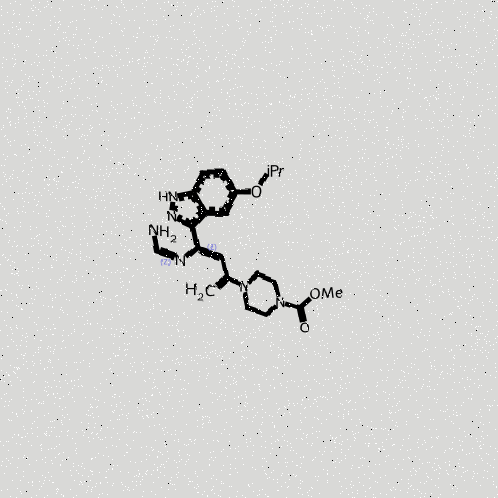 C=C(/C=C(\N=C/N)c1n[nH]c2ccc(OC(C)C)cc12)N1CCN(C(=O)OC)CC1